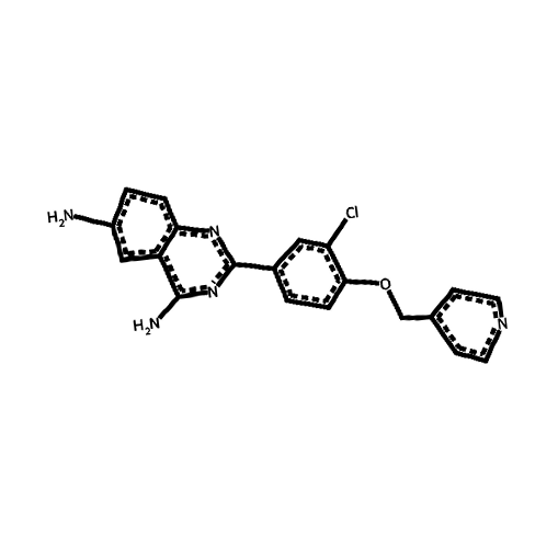 Nc1ccc2nc(-c3ccc(OCc4ccncc4)c(Cl)c3)nc(N)c2c1